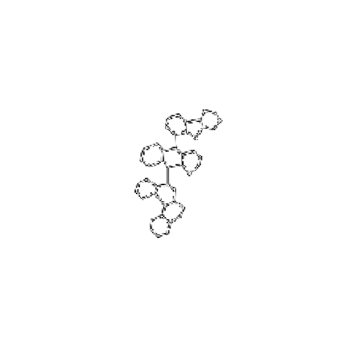 c1ccc2c(c1)ccc1cc(-c3c4ccccc4c(-c4cccc5c4oc4ccccc45)c4ccccc34)c3ccccc3c12